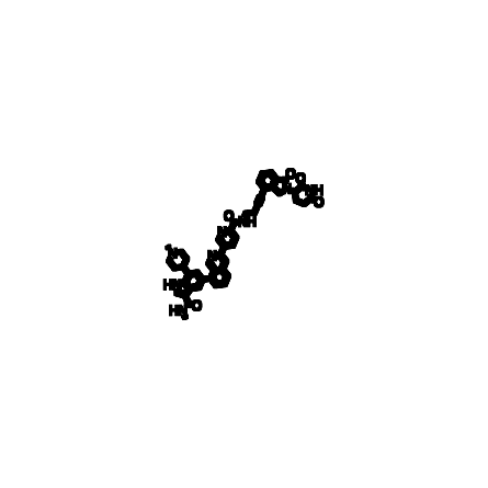 CNC(=O)c1c[nH]c2c(C3CCN(C)CC3)cc(-c3cccc4cc(-c5ccc(C(=O)NCCC#Cc6cccc7c6CN(C6CCC(=O)NC6=O)C7=O)nc5)ncc34)cc12